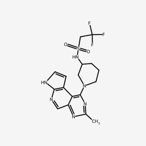 Cc1nc(N2CCCC(NS(=O)(=O)CC(F)(F)F)C2)c2c(cnc3[nH]ccc32)n1